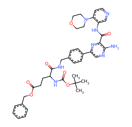 CC(C)(C)OC(=O)NC(CCC(=O)OCc1ccccc1)C(=O)NCc1ccc(-c2cnc(N)c(C(=O)Nc3cnccc3N3CCOCC3)n2)cc1